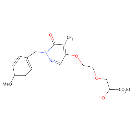 CCOC(=O)C(O)COCCOc1cnn(Cc2ccc(OC)cc2)c(=O)c1C(F)(F)F